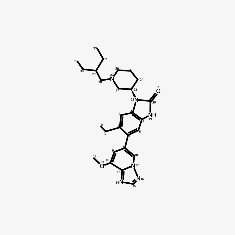 CCc1cc2c(cc1-c1cc(OC)c3ncnn3c1)[nH]c(=O)n2[C@@H]1CCCN(CC(CC)CC)C1